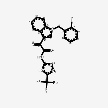 O=C(Nc1nnc(C(F)(F)F)s1)C(=O)c1cn(Cc2ccccc2F)c2ccccc12